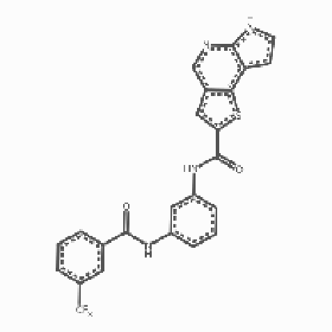 O=C(Nc1cccc(NC(=O)c2cc3cnc4[nH]ccc4c3s2)c1)c1cccc(C(F)(F)F)c1